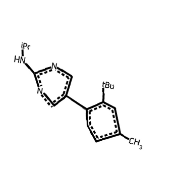 Cc1ccc(-c2cnc(NC(C)C)nc2)c(C(C)(C)C)c1